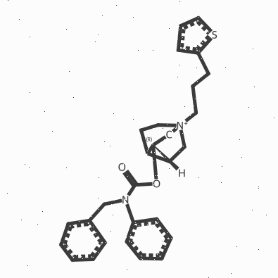 O=C(O[C@H]1C[N+]2(CCCc3cccs3)CCC1CC2)N(Cc1ccccc1)c1ccccc1